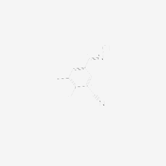 Cc1cc(/C=N/O)cc(C#N)c1C